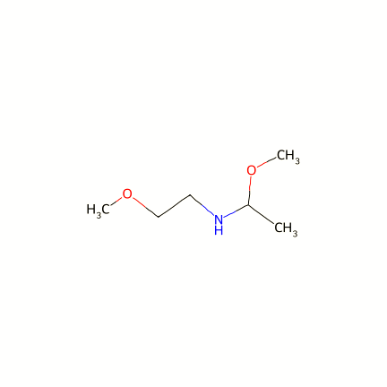 COCCNC(C)OC